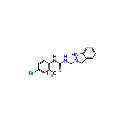 Cc1cc(Br)ccc1NC(=S)NCN1Cc2ccccc2N1